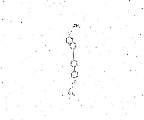 CCCCOc1ccc(-c2ccc(C#Cc3ccc4cc(OCCC)ccc4c3)cc2)cc1